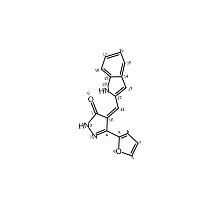 O=C1NN=C(c2ccco2)C1=Cc1cc2ccccc2[nH]1